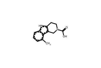 Cc1cccc2[nH]c3c(c12)CN(C(=O)O)CC3